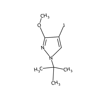 COc1nn(C(C)(C)C)cc1I